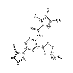 Cc1[nH]c(C(=O)Nc2ccc(-n3nn[nH]c3=O)cc2N2CC[C@H](N)C2)c(Cl)c1Cl.Cl